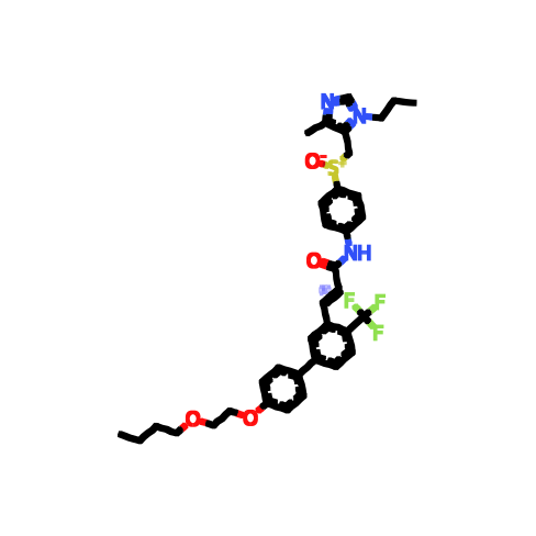 CCCCOCCOc1ccc(-c2ccc(C(F)(F)F)c(/C=C/C(=O)Nc3ccc([S+]([O-])Cc4c(C)ncn4CCC)cc3)c2)cc1